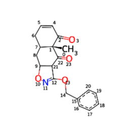 C[C@]12C(=O)C=CCC1CC1ON=C(OCc3ccccc3)C1C2=O